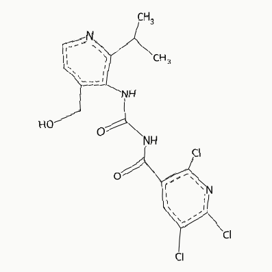 CC(C)c1nccc(CO)c1NC(=O)NC(=O)c1cc(Cl)c(Cl)nc1Cl